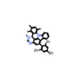 Cc1cc(C)c2c(c1C)c1c3c(cc(-c4c(C(C)C)cc(C(C)C)cc4C(C)C)c4c5ccccc5n2c43)nc[n+]1C